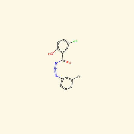 CC(C)c1cccc(N=[N+]=NC(=O)c2cc(Cl)ccc2O)c1